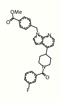 COC(=O)c1ccc(Cn2ccc3c(C4CCN(C(=O)c5cccc(F)c5)CC4)ccnc32)cc1